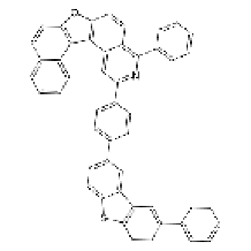 c1ccc(-c2ccc3sc4ccc(-c5ccc(-c6cc7c(ccc8oc9ccc%10ccccc%10c9c87)c(-c7ccccc7)n6)cc5)cc4c3c2)cc1